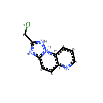 ClCc1nc2ccc3ncccc3n2n1